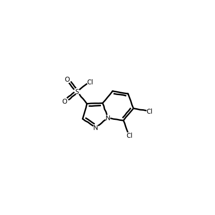 O=S(=O)(Cl)c1cnn2c(Cl)c(Cl)ccc12